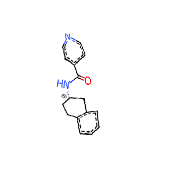 O=C(N[C@H]1CCc2ccccc2C1)c1ccncc1